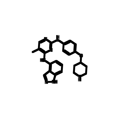 Cc1cnc(Nc2ccc(OC3CCNCC3)cc2)nc1Nc1cccc2[nH]ncc12